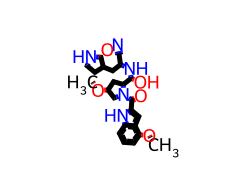 COc1cccc2[nH]c(C(=O)N3CC(OC)CC3C(O)NC(C#N)CC3CCNC3=O)cc12